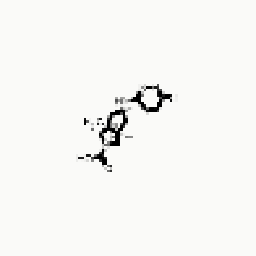 C[C@]12C[C@H](Nc3ccc(Cl)nn3)C[C@H]1CN(C(=O)O)C2